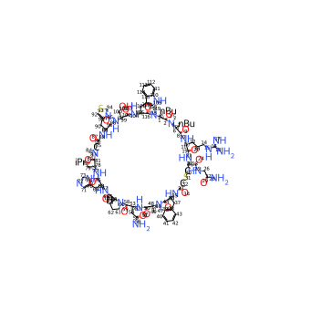 CCCC[C@H]1C(=O)N(C)[C@@H](CCCC)C(=O)N[C@@H](CCCNC(=N)N)C(=O)N[C@H](C(=O)NCC(N)=O)CSCC(=O)N[C@@H](Cc2ccccc2)C(=O)N(C)[C@@H](C)C(=O)N[C@@H](CC(N)=O)C(=O)N2CCC[C@H]2C(=O)N[C@@H](Cc2cnc[nH]2)C(=O)N[C@@H](CC(C)C)C(=O)N(C)CC(=O)N[C@@H](Cc2cscn2)C(=O)N[C@@H](CO)C(=O)N[C@@H](Cc2c[nH]c3ccccc23)C(=O)N1C